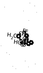 C=C1CC(C)CC(CC[C@@H](C(=O)O)n2c(=O)c3ccc4ccccc4c3n(Cc3ccc(C(F)(F)F)cc3)c2=O)C1